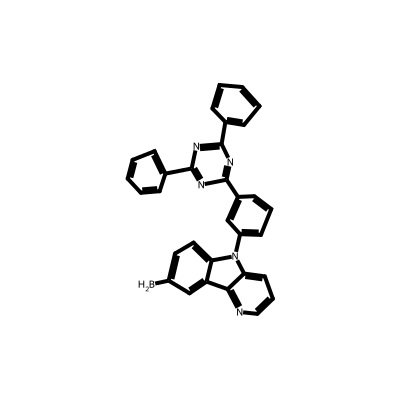 Bc1ccc2c(c1)c1ncccc1n2-c1cccc(-c2nc(-c3ccccc3)nc(-c3ccccc3)n2)c1